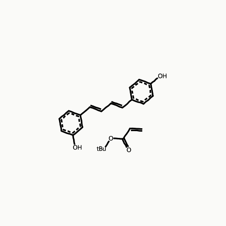 C=CC(=O)OC(C)(C)C.Oc1ccc(C=CC=Cc2cccc(O)c2)cc1